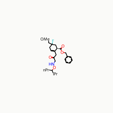 CCCC(ONCC(=O)CC1=CCC(F)(COC)C[C@H]1C(=O)OCc1ccccc1)C(C)C